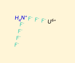 [F-].[F-].[F-].[F-].[F-].[F-].[F-].[NH4+].[U+6]